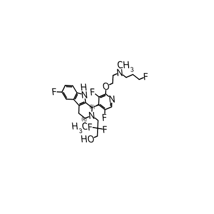 C[C@@H]1Cc2c([nH]c3ccc(F)cc23)[C@@H](c2c(F)cnc(OCCN(C)CCCF)c2F)N1CC(F)(F)CO